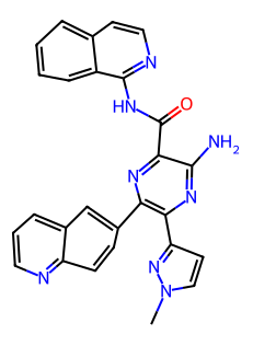 Cn1ccc(-c2nc(N)c(C(=O)Nc3nccc4ccccc34)nc2-c2ccc3ncccc3c2)n1